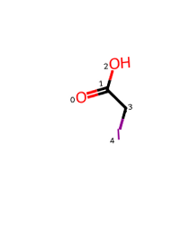 O=C(O)[CH]I